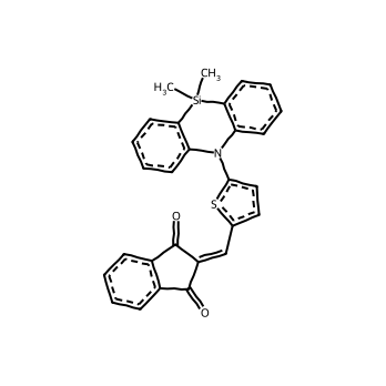 C[Si]1(C)c2ccccc2N(c2ccc(C=C3C(=O)c4ccccc4C3=O)s2)c2ccccc21